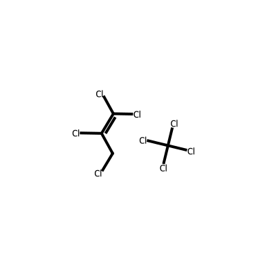 ClC(Cl)(Cl)Cl.ClCC(Cl)=C(Cl)Cl